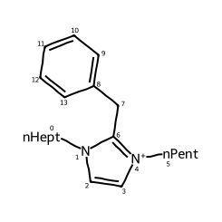 CCCCCCCn1cc[n+](CCCCC)c1Cc1ccccc1